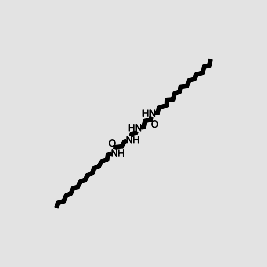 CCCCCCCCCCCCCCCCNC(=O)CCNCCNCCC(=O)NCCCCCCCCCCCCCCCC